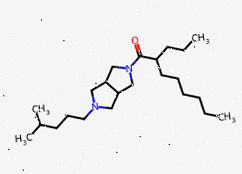 CCCCCCC(CCC)C(=O)N1CC2CN(CCCC(C)C)CC2C1